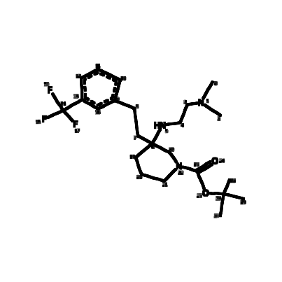 CN(C)CCNC1(CCc2cccc(C(F)(F)F)c2)CCCN(C(=O)OC(C)(C)C)C1